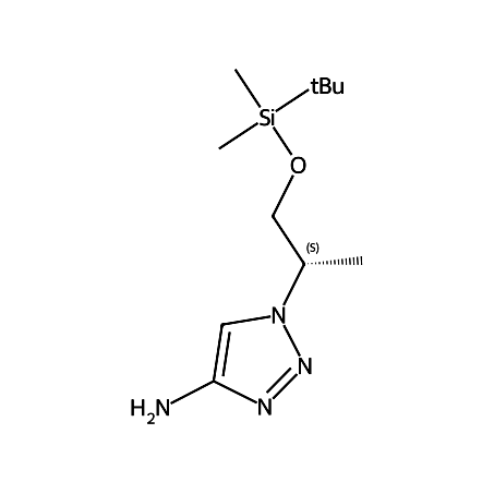 C[C@@H](CO[Si](C)(C)C(C)(C)C)n1cc(N)nn1